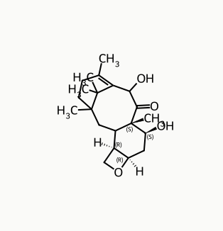 CC1=C2C(O)C(=O)[C@@]3(C)C(CC(C)(CC1)C2(C)C)[C@@H]1CO[C@@H]1C[C@@H]3O